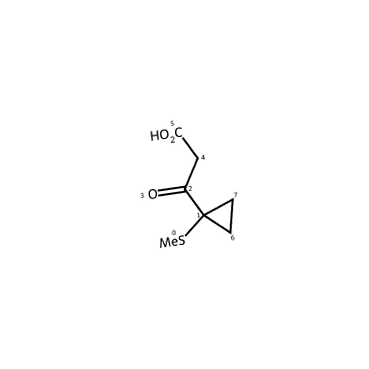 CSC1(C(=O)CC(=O)O)CC1